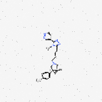 Cn1c(CCCCN2C[C@@H]3C[C@]3(c3ccc(C(F)(F)F)cc3)C2)nnc1-c1ccnnc1